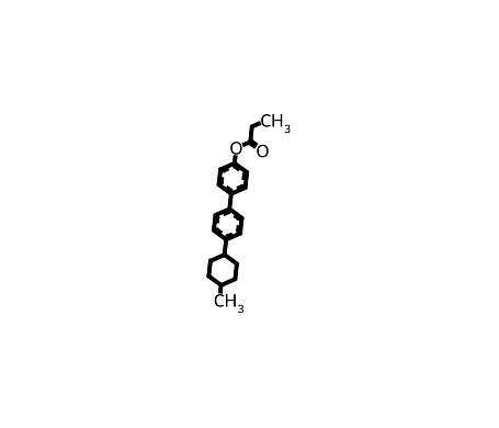 CCC(=O)Oc1ccc(-c2ccc(C3CCC(C)CC3)cc2)cc1